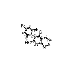 Oc1nc2ncncc2c(Cl)c1-c1c(F)cc(F)cc1F